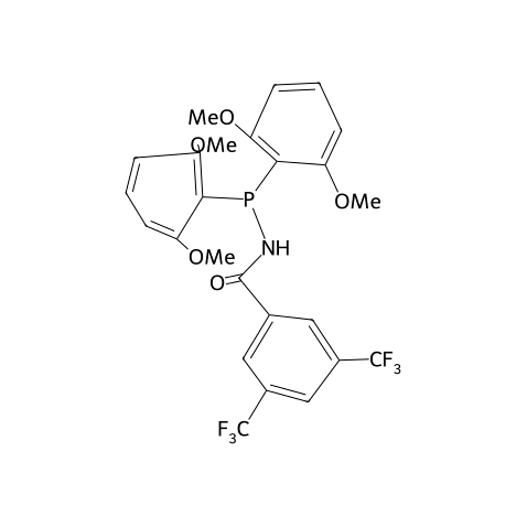 COc1cccc(OC)c1P(NC(=O)c1cc(C(F)(F)F)cc(C(F)(F)F)c1)c1c(OC)cccc1OC